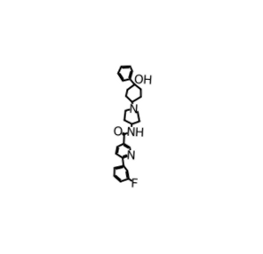 O=C(NC1CCN(C2CCC(O)(c3ccccc3)CC2)CC1)c1ccc(-c2cccc(F)c2)nc1